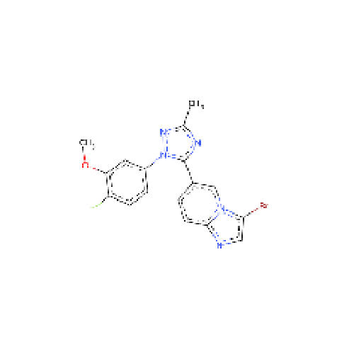 COc1cc(-n2nc(C)nc2-c2ccc3ncc(Br)n3c2)ccc1F